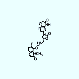 Cn1c(=O)ccc2ccc(F)c(OCCNC[C@H]3CN(c4cnc5c(n4)NC(=O)CO5)C(=O)O3)c21